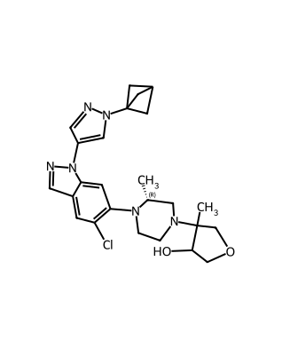 C[C@@H]1CN(C2(C)COCC2O)CCN1c1cc2c(cnn2-c2cnn(C34CC(C3)C4)c2)cc1Cl